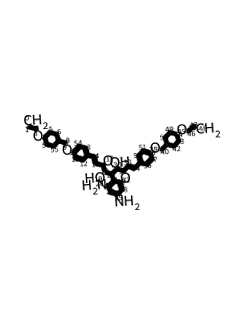 C=CCOC1CCC(COc2ccc(/C=C/C(=O)C(O)C(c3ccc(N)cc3N)C(O)C(=O)/C=C/c3ccc(OCC4CCC(OCC=C)CC4)cc3)cc2)CC1